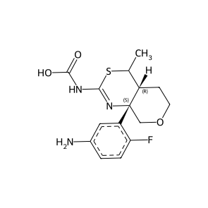 CC1SC(NC(=O)O)=N[C@@]2(c3cc(N)ccc3F)COCC[C@@H]12